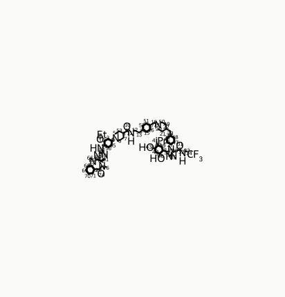 CCOc1cc(N2CCC(C(=O)NCCc3ccc(CN4CCC(Cc5ccc(-n6c(C(=O)NCC(F)(F)F)nnc6-c6cc(C(C)C)c(O)cc6O)cc5)CC4)cc3)CC2)ccc1Nc1ncc2c(n1)N(C)c1ccccc1C(=O)N2C